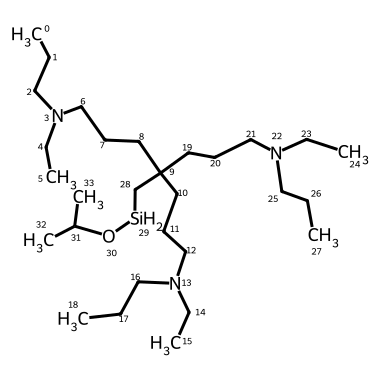 CCCN(CC)CCCC(CCCN(CC)CCC)(CCCN(CC)CCC)C[SiH2]OC(C)C